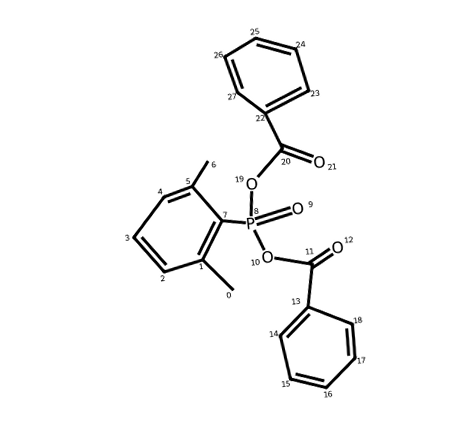 Cc1cccc(C)c1P(=O)(OC(=O)c1ccccc1)OC(=O)c1ccccc1